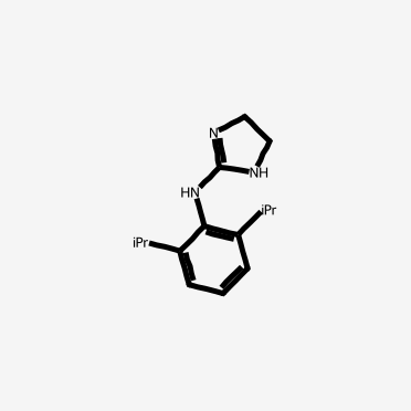 CC(C)c1cccc(C(C)C)c1NC1=NCCN1